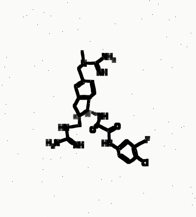 CN(Cc1ccc2c(c1)C[C@H](CNC(=N)N)[C@H]2NC(=O)C(=O)Nc1ccc(Cl)c(F)c1)C(=N)N